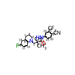 CC(C)(CN1CCCC2=C1C=CC(F)C2)C(=O)Nc1ccc(C#N)c(C(F)(F)F)c1